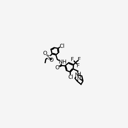 CCS(=O)(=O)c1ccc(Cl)cc1CNC(=O)c1cc(Cl)c(CN2CC3CC(C2)N3)c(C(F)(F)F)c1